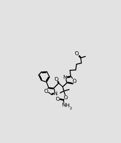 CC(=O)CCCCc1nc(C(C(=O)c2ncoc2-c2ccccc2)C(C)(C)OC(N)=O)co1